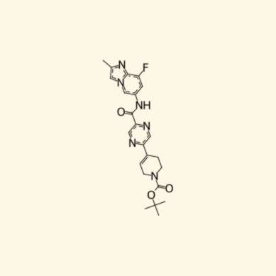 Cc1cn2cc(NC(=O)c3cnc(C4=CCN(C(=O)OC(C)(C)C)CC4)cn3)cc(F)c2n1